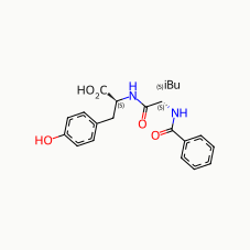 CC[C@H](C)[C@H](NC(=O)c1ccccc1)C(=O)N[C@@H](Cc1ccc(O)cc1)C(=O)O